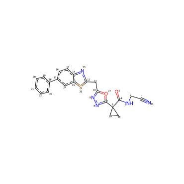 N#CCNC(=O)C1(c2nnc(Cc3nc4ccc(-c5ccccc5)cc4s3)o2)CC1